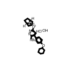 CCCCc1nnc(O[C@H]2C[C@H]3CC[C@@H](C2)N3C)cc1-c1ccc(OC2CCCCC2)cc1.Cl.Cl